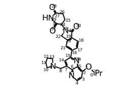 CC(C)Oc1ccnc2c(CN3CCCC3)cc(-c3ccc4c(c3)CN(C3CCC(=O)NC3=O)C4=O)nc12